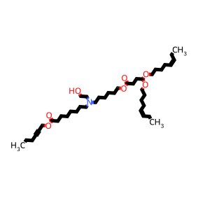 CC/C=C\CCCCOC(CCC(=O)OCCCCCCN(CCO)CCCCCCCC(=O)OCC#CCCC)OCCCC/C=C\CC